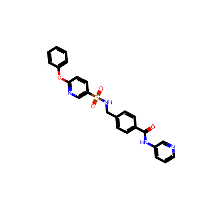 O=C(Nc1cccnc1)c1ccc(CNS(=O)(=O)c2ccc(Oc3ccccc3)nc2)cc1